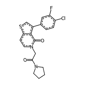 O=C(Cn1ccc2scc(-c3ccc(Cl)c(F)c3)c2c1=O)N1CCCC1